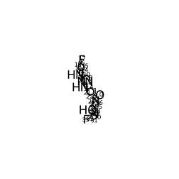 O=C(c1ccc(Nc2nccc(Nc3ccc(F)cc3)n2)cc1)N1CCC(O)(CN2CCC(F)C2)CC1